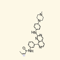 C/C=C\C(=O)Nc1cccc(-c2nccc3cnc(Nc4ccc(N5CCN(C)CC5)cc4)nc23)c1